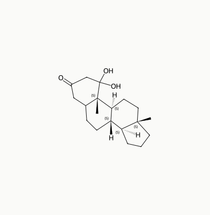 C[C@@]12CCC[C@H]1[C@@H]1CCC3CC(=O)CC(O)(O)[C@]3(C)[C@H]1CC2